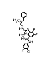 CN(CCNc1nc2c(F)c(F)cc(C(=N)Nc3ccc(F)c(Cl)c3)c2n1O)Cc1ccccc1